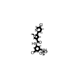 Cn1cc(C(=O)Nc2cc(Cl)cc(NS(C)(=O)=O)c2)cc1-c1ccc(Cl)cn1